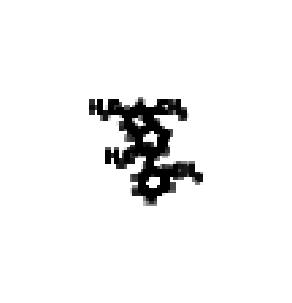 Cc1cc(C)c2ccc(-c3ccccc3C)[n+](C)c2c1